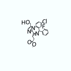 COC(=O)CC[C@@H]1N=C(c2ccccc2F)c2cc(Cl)ccc2-n2c(CO)cnc21